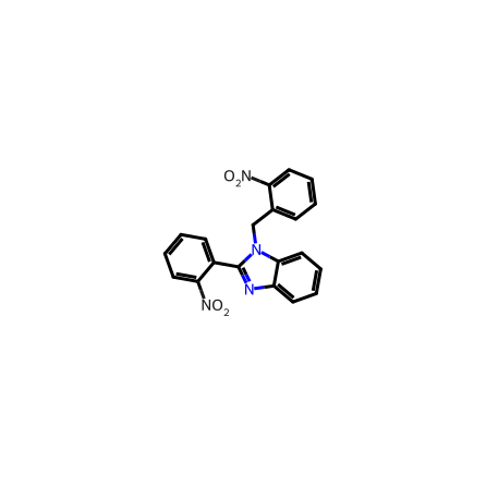 O=[N+]([O-])c1ccccc1Cn1c(-c2ccccc2[N+](=O)[O-])nc2ccccc21